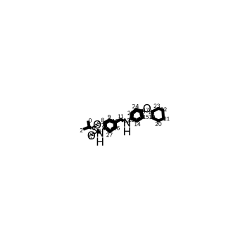 CC(C)S(=O)(=O)Nc1ccc(CNc2ccc(OC3CCCCC3)cc2)cc1